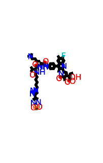 CC[C@@]1(O)C(=O)OCc2c1cc1n(c2=O)Cc2c-1nc1cc(F)c(C)cc1c2-c1ccc(NC(=O)[C@H](CCCCN(C)C)NC(=O)[C@@H](NC(=O)CCCCCn2cc(-c3cnc(S(C)(=O)=O)nc3)nn2)C(C)C)cc1